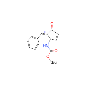 CC(C)(C)OC(=O)NC1C=CC(=O)/C1=C/c1ccccc1